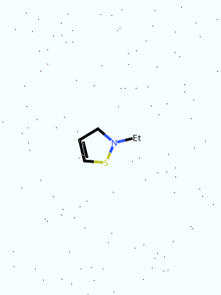 CCN1CC=CS1